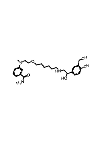 CN(CCOCCCCCCNCC(O)c1ccc(O)c(CO)c1)c1cccc(C(N)=O)c1